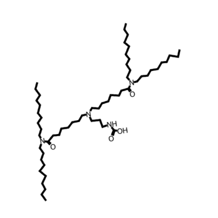 CCCCCCCCCCN(CCCCCCCCCC)C(=O)CCCCCCCN(CCCCCCCC(=O)N(CCCCCCCCCC)CCCCCCCCCC)CCCNC(=O)O